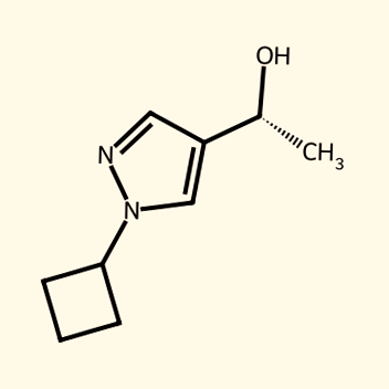 C[C@@H](O)c1cnn(C2CCC2)c1